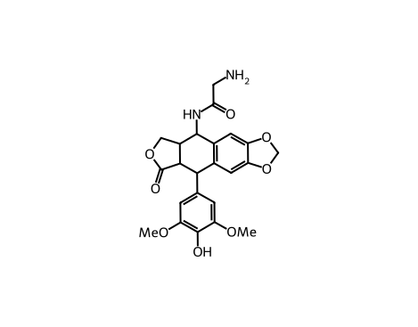 COc1cc(C2c3cc4c(cc3C(NC(=O)CN)C3COC(=O)C23)OCO4)cc(OC)c1O